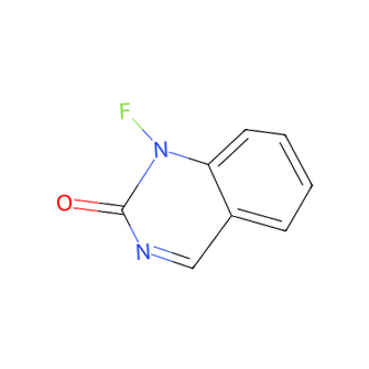 O=c1ncc2ccccc2n1F